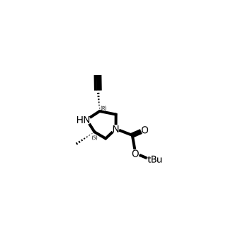 C#C[C@@H]1CN(C(=O)OC(C)(C)C)C[C@H](C)N1